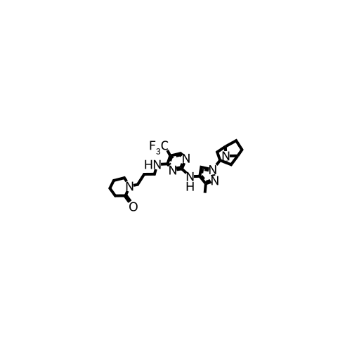 Cc1nn(C2CC3CCC(C2)N3C)cc1Nc1ncc(C(F)(F)F)c(NCCCN2CCCCC2=O)n1